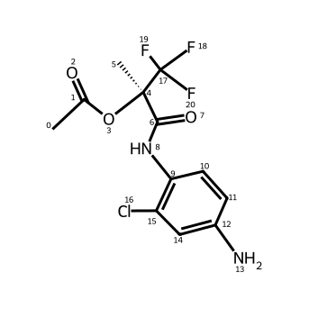 CC(=O)O[C@](C)(C(=O)Nc1ccc(N)cc1Cl)C(F)(F)F